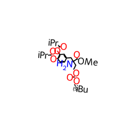 CC[C@H](C)COC(=O)OCCC(N)(Cc1ccc(OC(=O)C(C)C)c(OC(=O)C(C)C)c1)C(=O)OC